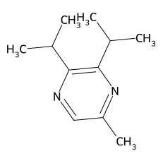 Cc1cnc(C(C)C)c(C(C)C)n1